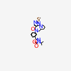 CSc1ncc2c(n1)N1CCCC1CN(c1cccc(-c3nn(C(C)C)c(=O)o3)c1)C2=O